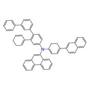 C1=CC(c2cc(N(C3=CC=C(c4ccc5ccccc5c4)CC3)c3cc4ccccc4c4ccccc34)ccc2-c2cccc(-c3ccccc3)c2)=CCC1